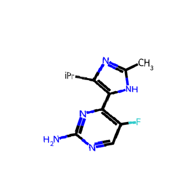 Cc1nc(C(C)C)c(-c2nc(N)ncc2F)[nH]1